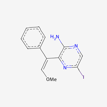 COC=C(c1ccccc1)c1nc(I)cnc1N